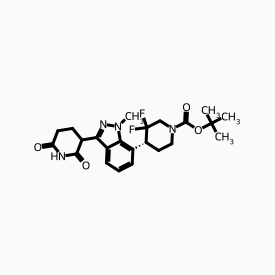 Cn1nc(C2CCC(=O)NC2=O)c2cccc([C@H]3CCN(C(=O)OC(C)(C)C)CC3(F)F)c21